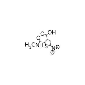 CNC(=O)c1sc([N+](=O)[O-])cc1C(=O)O